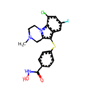 CN1CCn2c(c(Sc3ccc(C(=O)NO)cc3)c3cc(F)cc(Cl)c32)C1